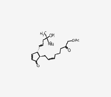 CCCCC(C)(O)C/C=C/[C@H]1C=CC(=O)[C@@H]1C/C=C\CCCC(=O)COC(C)=O